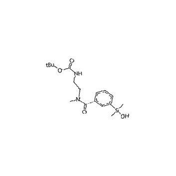 CN(CCNC(=O)OC(C)(C)C)C(=O)c1cccc([Si](C)(C)O)c1